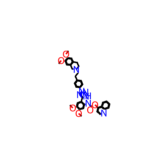 COc1cc2c(cc1OC)CN(CCc1ccc(-n3nnc(-c4cc(OC)c(OC)cc4NC(=O)Oc4ccnc5ccccc45)n3)cc1)CC2